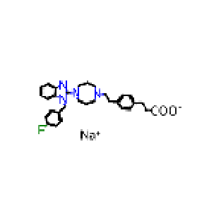 O=C([O-])CCc1ccc(CCN2CCCN(c3nc4ccccc4n3Cc3ccc(F)cc3)CCC2)cc1.[Na+]